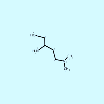 CN(C)CCC(N)CO